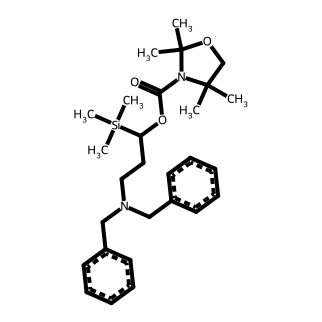 CC1(C)COC(C)(C)N1C(=O)OC(CCN(Cc1ccccc1)Cc1ccccc1)[Si](C)(C)C